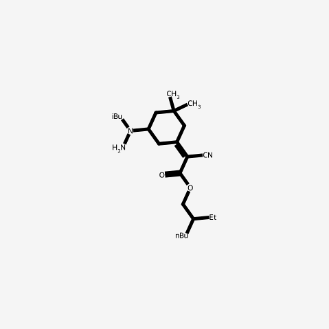 CCCCC(CC)COC(=O)/C(C#N)=C1\CC(N(N)C(C)CC)CC(C)(C)C1